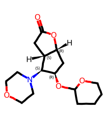 O=C1C[C@H]2[C@H](N3CCOCC3)[C@H](OC3CCCCO3)C[C@H]2O1